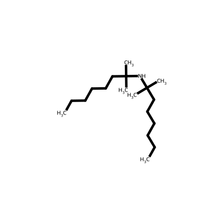 CCCCCCC(C)(C)NC(C)(C)CCCCCC